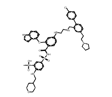 C[N+]([O-])(O)c1cc(S(=O)(=O)NC(=O)c2ccc(NCCNCc3cc(CCN4CCCC4)ccc3-c3ccc(Cl)cc3)cc2Oc2cccc3[nH]ccc23)ccc1NCC1CCOCC1